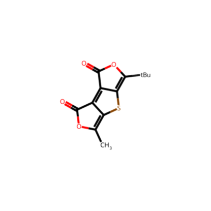 CC1=c2sc3c(c2C(=O)O1)C(=O)OC=3C(C)(C)C